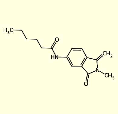 C=C1c2ccc(NC(=O)CCCCC)cc2C(=O)N1C